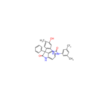 Cc1cc(NC(=O)Nc2cc(O)c(C)cc2C2(c3ccccc3)C(=O)Nc3ccccc32)cc(C(F)(F)F)c1